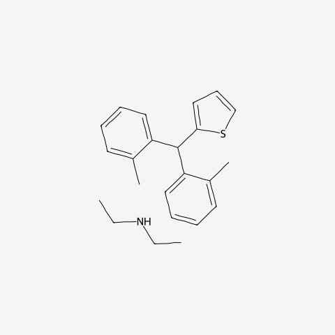 CCNCC.Cc1ccccc1C(c1cccs1)c1ccccc1C